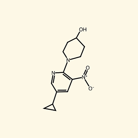 O=[N+]([O-])c1cc(C2CC2)cnc1N1CCC(O)CC1